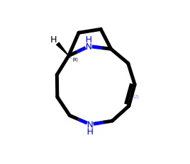 C1=C\CC2CC[C@@H](CCCNC/1)N2